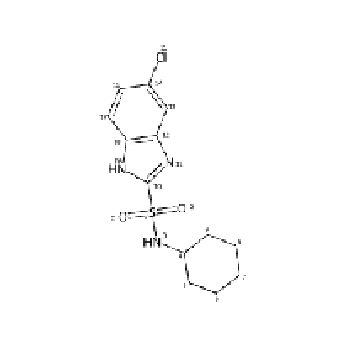 O=S(=O)(NC1CCCCC1)c1nc2cc(Cl)ccc2[nH]1